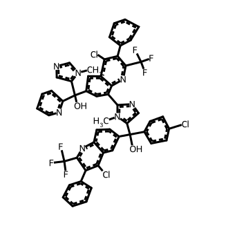 Cn1cncc1C(O)(c1cc(-c2ncc(C(O)(c3ccc(Cl)cc3)c3ccc4nc(C(F)(F)F)c(-c5ccccc5)c(Cl)c4c3)n2C)c2nc(C(F)(F)F)c(-c3ccccc3)c(Cl)c2c1)c1ccccn1